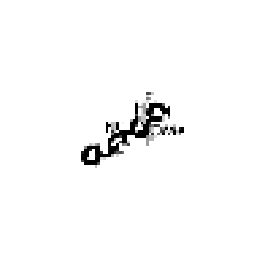 COC1(c2cncc(F)c2)NC=C(C2(C#N)CCN(Cc3ccccc3)CC2)C=C1F